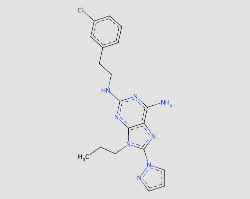 CCCn1c(-n2cccn2)nc2c(N)nc(NCCc3cccc(Cl)c3)nc21